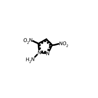 Nn1nc([N+](=O)[O-])cc1[N+](=O)[O-]